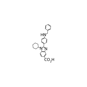 O=C(O)c1ccc2c(c1)nc(-c1ccc(NCc3ccccc3)cc1)n2C1CCCCC1